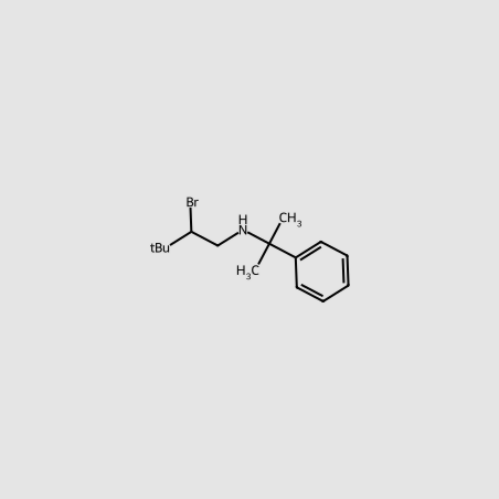 CC(C)(NCC(Br)C(C)(C)C)c1ccccc1